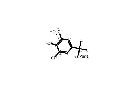 CCCCCC(C)(C)c1cc(Cl)c(O)c(C(=O)O)c1